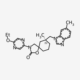 CCOc1cnc(N2CC3(CCC[C@](C)(Cn4cnc5ccc(C)cc54)C3)OC2=O)cn1